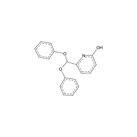 Oc1cccc(C(Oc2ccccc2)Oc2ccccc2)n1